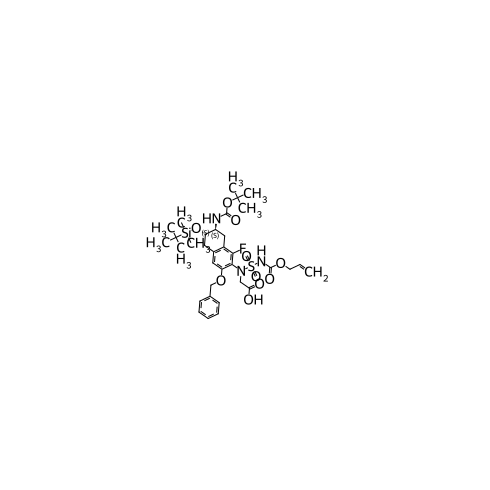 C=CCOC(=O)NS(=O)(=O)N(CC(=O)O)c1c(OCc2ccccc2)cc2c(c1F)C[C@H](NC(=O)OC(C)(C)C)[C@@H](O[Si](C)(C)C(C)(C)C)C2